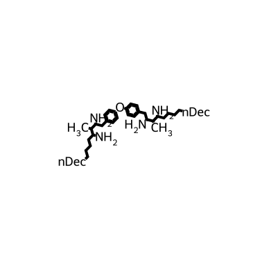 CCCCCCCCCCCCCCC(N)C(C)C(N)Cc1ccc(Oc2ccc(CC(N)C(C)C(N)CCCCCCCCCCCCCC)cc2)cc1